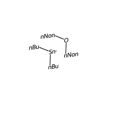 CCCCCCCCCOCCCCCCCCC.CCC[CH2][Sn][CH2]CCC